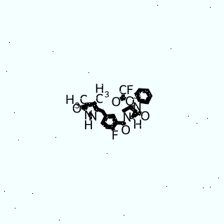 Cc1c(Cc2ccc(F)c(C(=O)N3C[C@@]4(OC(=O)C(F)(F)F)C[C@H]3C(=O)N4c3ccccc3)c2)n[nH]c(=O)c1C